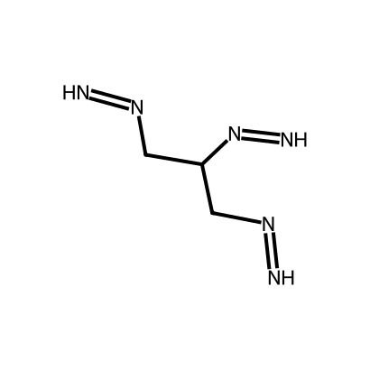 N=NCC(CN=N)N=N